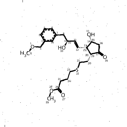 COCc1cccc(C[C@H](O)C=C[C@@H]2[C@H](O)CC(=O)[C@@H]2CCSCCCC(=O)OC)c1